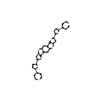 c1cc(-c2ccc(-c3cc4sc5cc6c(cc5c4s3)sc3cc(-c4ccc(-c5ccncc5)s4)sc36)s2)ccn1